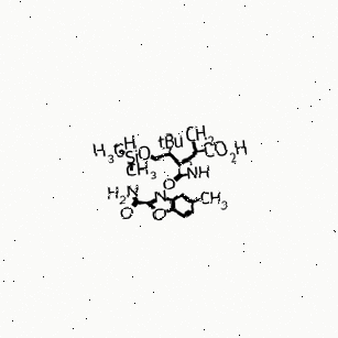 C[C@@H](C(=O)O)[C@@H]1NC(=O)[C@H]1[C@@H](CO[SiH](C)C)C(C)(C)C.Cc1ccc2oc(C(N)=O)nc2c1